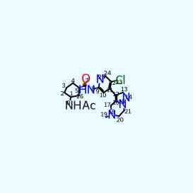 CC(=O)NC1CCC[C@@H](C(=O)Nc2cc(-c3cnn4c3CN(C)CC4)c(Cl)cn2)C1